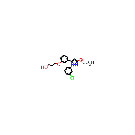 O=C(O)Oc1cc(-c2cccc(OCCCO)c2)n(-c2cccc(Cl)c2)n1